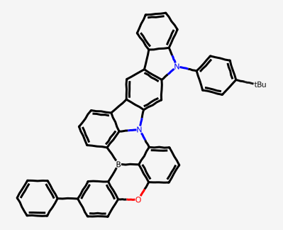 CC(C)(C)c1ccc(-n2c3ccccc3c3cc4c5cccc6c5n(c4cc32)-c2cccc3c2B6c2cc(-c4ccccc4)ccc2O3)cc1